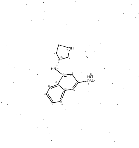 COc1cc(N[C@@H]2CCNC2)c2cccnc2c1.Cl